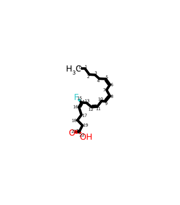 CCCCC/C=C\C/C=C\C/C=C\C/C(F)=C\CCCC(=O)O